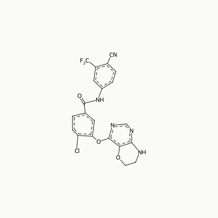 N#Cc1ccc(NC(=O)c2ccc(Cl)c(Oc3ncnc4c3OCCN4)c2)cc1C(F)(F)F